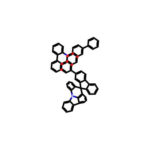 c1ccc(-c2ccc(N(c3cccc(-c4ccc5c(c4)C4(c6ccccc6-5)c5ccccc5-n5c6ccccc6c6cccc4c65)c3)c3ccccc3-c3ccccc3-c3ccccc3)cc2)cc1